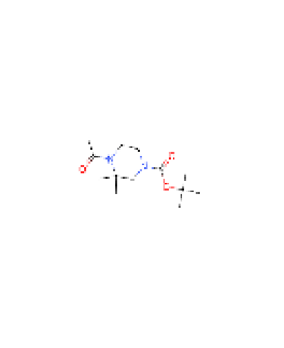 CC(=O)N1CCN(C(=O)OC(C)(C)C)CC1(C)C